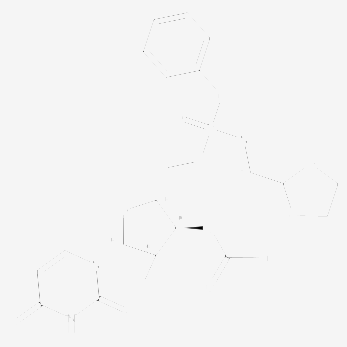 CCC(=O)O[C@@H]1[C@@H](COP(=O)(N[C@@H](C)C2OCCO2)Oc2ccccc2)O[C@@H](n2ccc(=O)[nH]c2=O)[C@]1(C)F